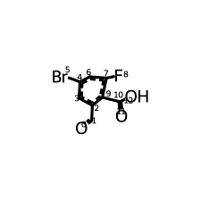 O=Cc1cc(Br)cc(F)c1C(=O)O